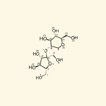 OC[C@H]1O[C@](CO)(O[C@H]2CO[C@H](CO)[C@@H](O)[C@@H]2O)[C@@H](O)[C@@H]1O